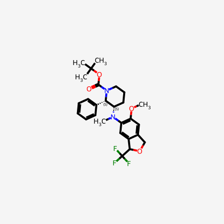 COc1cc2c(cc1N(C)[C@H]1CCCN(C(=O)OC(C)(C)C)[C@H]1c1ccccc1)C(C(F)(F)F)OC2